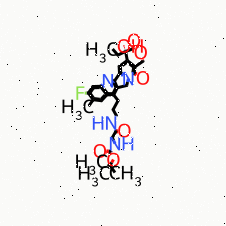 CC[C@@]1(O)C(=O)OCc2c1cc1n(c2=O)Cc2c-1nc1cc(F)c(C)cc1c2CCCNC(=O)CNC(=O)OC(C)(C)C